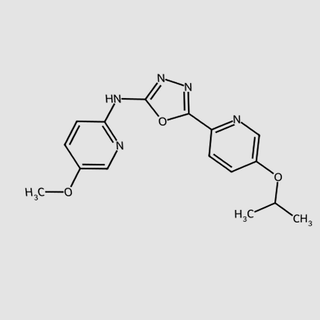 COc1ccc(Nc2nnc(-c3ccc(OC(C)C)cn3)o2)nc1